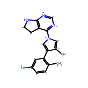 Cc1ccc(Cl)cc1-c1cn(-c2ncnc3c2CCN3)cc1C#N